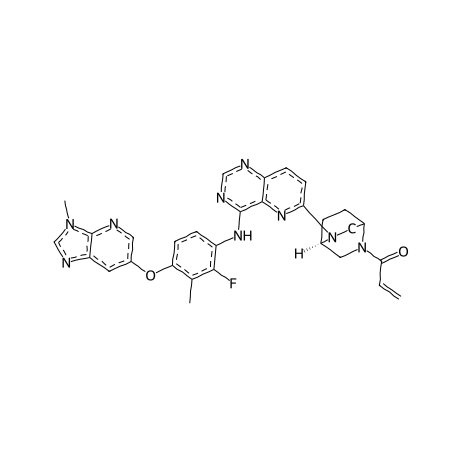 C=CC(=O)N1C[C@H]2CCC1CN2c1ccc2ncnc(Nc3ccc(Oc4cnc5c(c4)ncn5C)c(C)c3F)c2n1